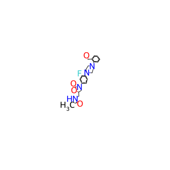 CC(=O)NCC1CN(c2ccc(N3CCN(c4ccccc4C=O)CC3)c(F)c2)C(=O)O1